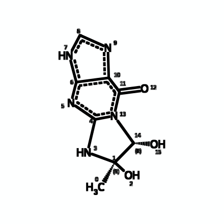 C[C@]1(O)Nc2nc3[nH]cnc3c(=O)n2[C@@H]1O